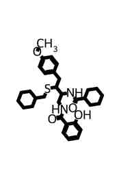 COc1ccc(CC(SCC2CCCCC2)C(CNC(=O)c2ccccc2O)NC(=O)C2CCCCC2)cc1